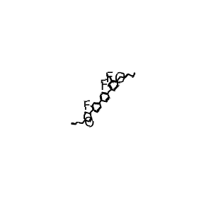 C=CCCC1CCC(c2ccc(-c3ccc(-c4ccc(OCCCC)c(F)c4F)cc3)cc2F)CO1